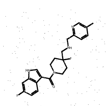 Cc1ccc(CNCC2(F)CCN(C(=O)c3c[nH]c4cc(F)ccc34)CC2)nc1